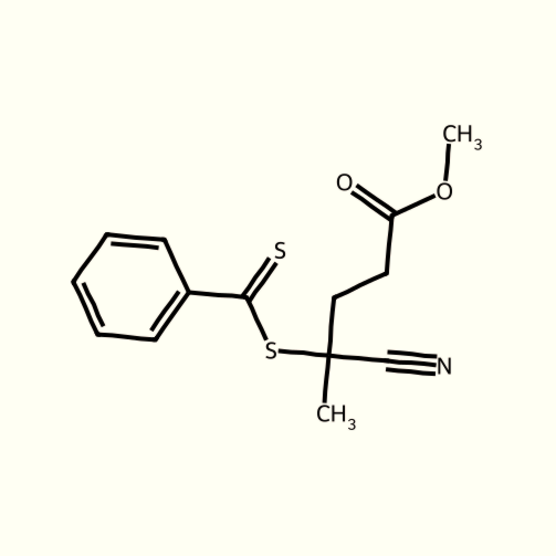 COC(=O)CCC(C)(C#N)SC(=S)c1ccccc1